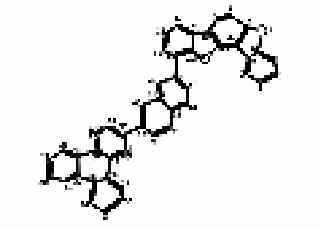 c1ccc2c(c1)oc1ccc3c4cccc(-c5ccc6ccc(-c7cnc8c9ccccc9c9ccccc9c8n7)cc6c5)c4oc3c12